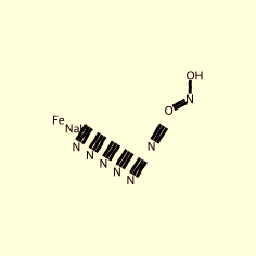 C#N.C#N.C#N.C#N.C#N.C#N.O=NO.[Fe].[NaH]